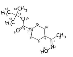 C/C(=N/O)C1CCN(C(=O)OC(C)(C)C)CC1